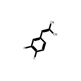 N#CC(C#N)=Cc1ccc(F)c(F)c1